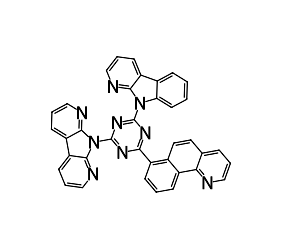 c1cnc2c(c1)ccc1c(-c3nc(-n4c5ccccc5c5cccnc54)nc(-n4c5ncccc5c5cccnc54)n3)cccc12